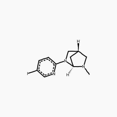 CN1C[C@@H]2C[C@@H]1N(c1ccc(I)cn1)C2